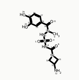 CN(NS(=O)(=O)NC(=O)N1CC(N)C1)C(=O)c1ccc(O)c(O)c1